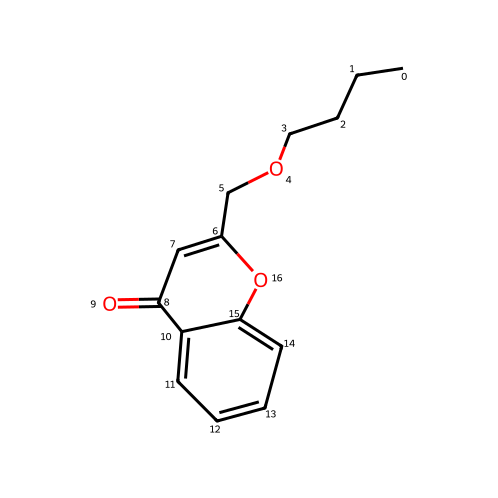 CCCCOCc1cc(=O)c2ccccc2o1